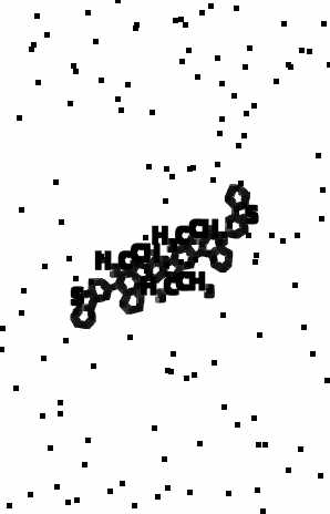 CC1(C)c2cc3c(cc2-c2cc4c(cc21)-c1c(cc(-c2ccc5sc6ccccc6c5c2)c2ccccc12)C4(C)C)C(C)(C)c1cc(-c2ccc4sc5ccccc5c4c2)c2ccccc2c1-3